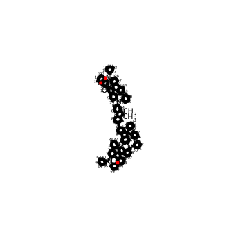 CC1(C)c2cc(-c3ccc4c(c3)C(c3ccccc3)(c3ccccc3)c3cc(N(c5ccccc5)c5cccc6c5-c5oc7ccccc7c5C65c6ccccc6-c6c(N(c7ccccc7)c7ccccc7)cccc65)ccc3-4)ccc2-c2ccc(N(c3ccccc3)c3ccc4c(c3)C3(c5ccccc5-c5ccc(N(c6ccccc6)c6ccccc6)cc53)c3c-4oc4ccccc34)cc21